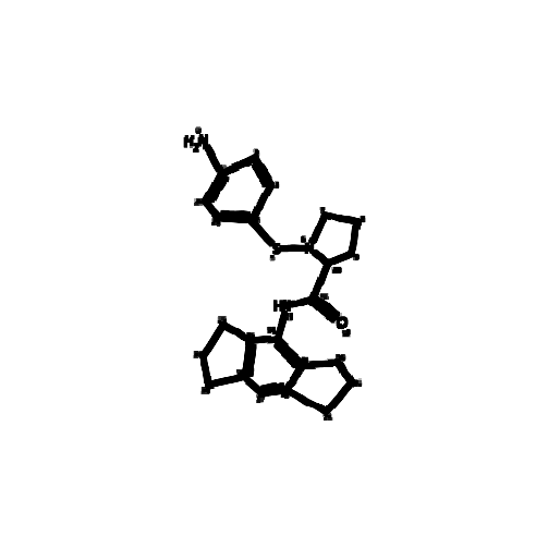 Nc1ccc(SN2CCCC2C(=O)Nc2c3c(cc4c2CCC4)CCC3)cc1